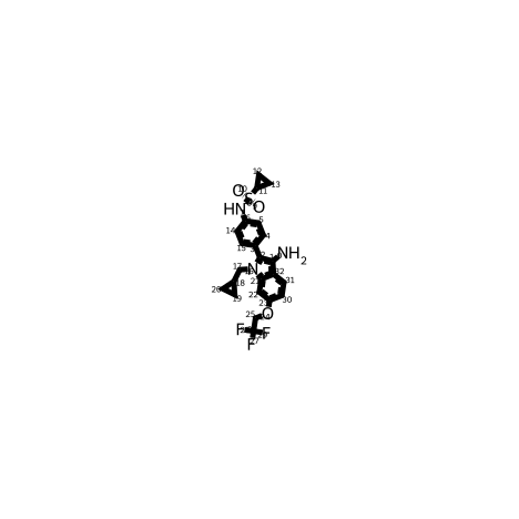 Nc1c(-c2ccc(NS(=O)(=O)C3CC3)cc2)n(CC2CC2)c2cc(OCC(F)(F)F)ccc12